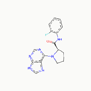 O=C(Nc1ccccc1F)[C@H]1CCCN1c1ncnc2[nH]cnc12